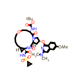 COc1ccc2c(O[C@@H]3C[C@H]4C(=O)N[C@]5(C(=O)NS(=O)(=O)C6CC6)C[C@H]5CCCCOCC[C@H](NC(=O)OC(C)(C)C)C(=O)N4C3)nc(N(C)C)cc2c1